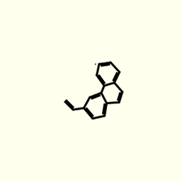 C=Cc1ccc2ccc3cc[c]cc3c2c1